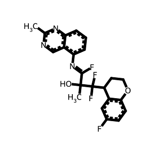 Cc1ncc2c(N=C(F)C(C)(O)C(F)(F)C3CCOc4ccc(F)cc43)cccc2n1